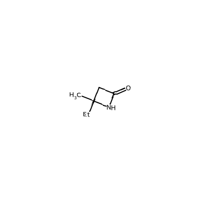 CCC1(C)CC(=O)N1